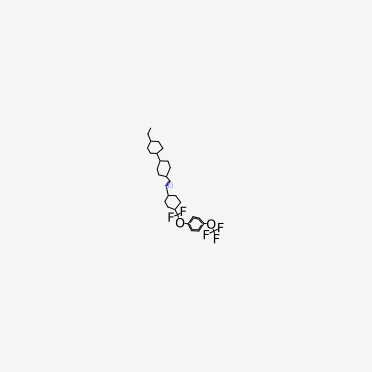 CCC1CCC(C2CCC(/C=C/C3CCC(C(F)(F)Oc4ccc(OC(F)(F)F)cc4)CC3)CC2)CC1